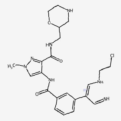 Cn1cc(NC(=O)c2cccc(/C(C=N)=C/NCCCl)c2)c(C(=O)NCC2CNCCO2)n1